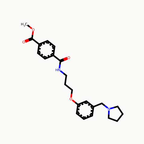 COC(=O)c1ccc(C(=O)NCCCOc2cccc(CN3CCCC3)c2)cc1